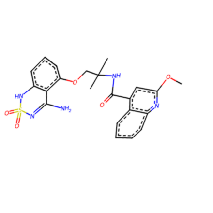 COc1cc(C(=O)NC(C)(C)COc2cccc3c2C(N)=NS(=O)(=O)N3)c2ccccc2n1